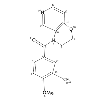 COc1ccc(C(=O)N2CCOc3ccncc32)cc1C(F)(F)F